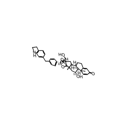 C[C@]12C=CC(=O)C=C1CC[C@@H]1[C@@H]2[C@@H](O)C[C@@]2(C)[C@H]1C[C@H]1O[C@@H](c3ccc(Cc4ccc5c(c4)NCC5)cc3)O[C@]12C(=O)CO